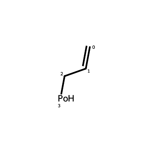 C=C[CH2][PoH]